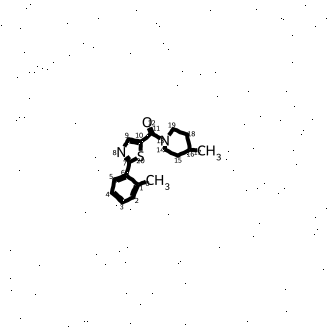 Cc1ccccc1-c1ncc(C(=O)N2CCC(C)CC2)s1